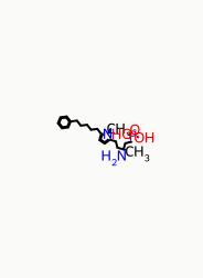 Cn1c(CCCCCc2ccccc2)ccc1CCC(C)(N)CCP(=O)(O)O